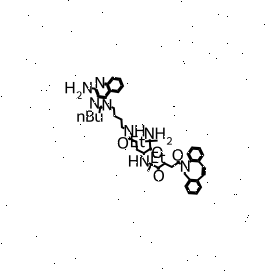 CCCCc1nc2c(N)nc3ccccc3c2n1CCCCNC(=O)CCC(NC(C)(CC)C(=O)CCC(=O)N1Cc2ccccc2C#Cc2ccccc21)C(=O)C(C)(N)CC